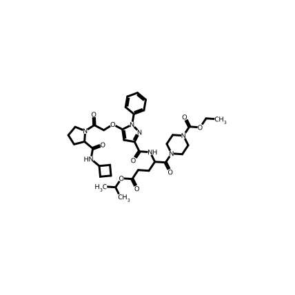 CCOC(=O)N1CCN(C(=O)C(CCC(=O)OC(C)C)NC(=O)c2cc(OCC(=O)N3CCCC3C(=O)NC3CCC3)n(-c3ccccc3)n2)CC1